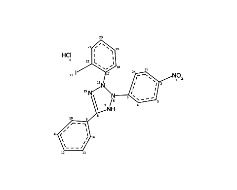 Cl.O=[N+]([O-])c1ccc(N2NC(c3ccccc3)=NN2c2ccccc2I)cc1